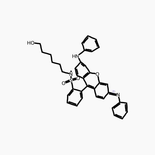 CN(CCCCCCO)S(=O)(=O)c1ccccc1-c1c2cc/c(=N\c3ccccc3)cc-2oc2cc(Nc3ccccc3)ccc12